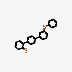 S=C1CC=CC=C1c1ccc(-c2[c]ccc(Sc3ccccc3)c2)cc1